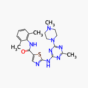 Cc1nc(Nc2ncc(C(=O)Nc3c(C)cccc3C)s2)nc(N2CCN(C)CC2)n1